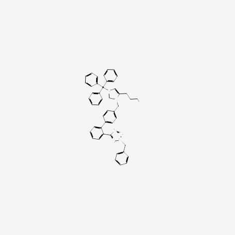 CCCCC1=CN(C(c2ccccc2)(c2ccccc2)c2ccccc2)CN1Cc1ccc(-c2ccccc2-c2nnn(Cc3ccccc3)n2)cc1